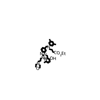 CCOC(=O)CCCN(Cc1ccc2nc(NCCCN3CCOCC3)n(Cc3nc(C)ccc3O)c2c1)c1cc(C)cc(C)c1